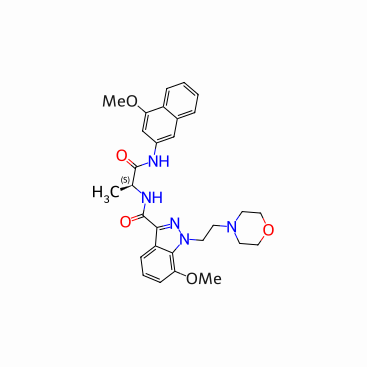 COc1cc(NC(=O)[C@H](C)NC(=O)c2nn(CCN3CCOCC3)c3c(OC)cccc23)cc2ccccc12